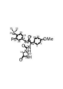 COc1ccc([C@@H](NC(=O)N2CNC(=O)C2)C(=O)Nc2ccc(S(C)(C)C)c(F)c2)cc1